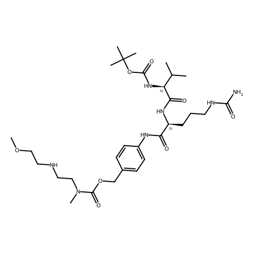 COCCNCCN(C)C(=O)OCc1ccc(NC(=O)[C@H](CCCNC(N)=O)NC(=O)[C@@H](NC(=O)OC(C)(C)C)C(C)C)cc1